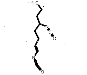 CCCC(CCC=CN=C=O)N=C=O